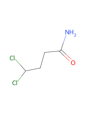 NC(=O)CCC(Cl)Cl